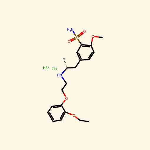 Br.CCOc1ccccc1OCCN[C@H](C)Cc1ccc(OC)c(S(N)(=O)=O)c1.Cl